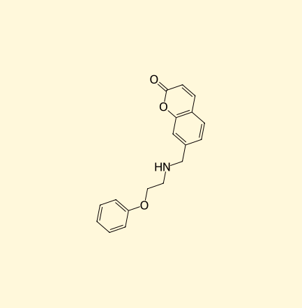 O=c1ccc2ccc(CNCCOc3ccccc3)cc2o1